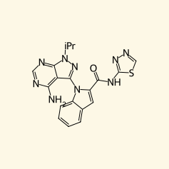 CC(C)n1nc(-n2c(C(=O)Nc3nncs3)cc3ccccc32)c2c(N)ncnc21